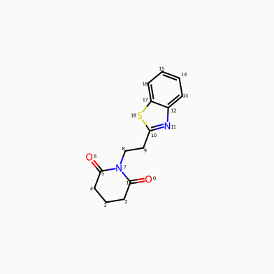 O=C1CCCC(=O)N1CCc1nc2ccccc2s1